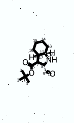 CC(C)(C)OC(=O)C1[C@@H](C=O)N[C@H]2CCCC[C@@H]12